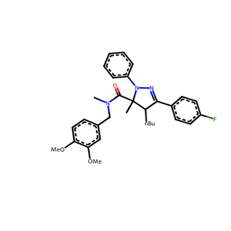 CCCCC1C(c2ccc(F)cc2)=NN(c2ccccc2)C1(C)C(=O)N(C)Cc1ccc(OC)c(OC)c1